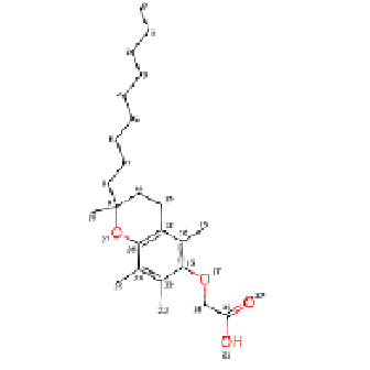 CCCCCCCCCC1(C)CCc2c(C)c(OCC(=O)O)c(C)c(C)c2O1